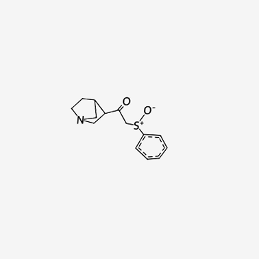 O=C(C[S+]([O-])c1ccccc1)C1CN2CCC1C2